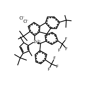 CC1=[C]([Zr+2](=[C](c2cccc(C(F)(F)F)c2)c2cccc(C(F)(F)F)c2)[c]2c(C(C)(C)C)ccc3c2Cc2cc(C(C)(C)C)ccc2-3)C(C)C=C1C(C)(C)C.[Cl-].[Cl-]